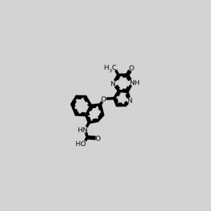 Cc1nc2c(Oc3ccc(NC(=O)O)c4ccccc34)ccnc2[nH]c1=O